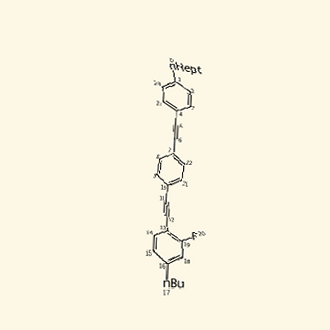 CCCCCCCc1ccc(C#Cc2ccc(C#Cc3ccc(CCCC)cc3F)cc2)cc1